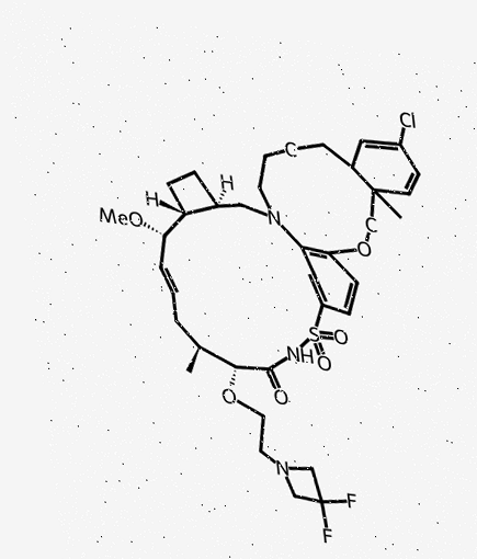 CO[C@H]1/C=C/C[C@H](C)[C@@H](OCCN2CC(F)(F)C2)C(=O)NS(=O)(=O)c2ccc3c(c2)N(CCCCC2C=C(Cl)C=CC2(C)CO3)C[C@@H]2CC[C@H]21